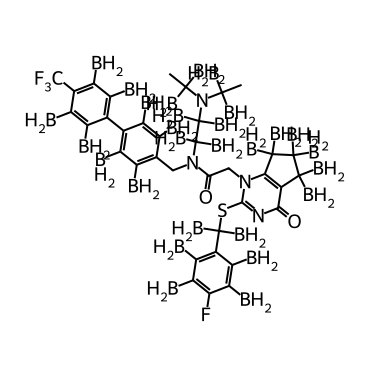 Bc1c(B)c(C(B)(B)Sc2nc(=O)c3c(n2CC(=O)N(Cc2c(B)c(B)c(-c4c(B)c(B)c(C(F)(F)F)c(B)c4B)c(B)c2B)C(B)(B)C(B)(B)N(C(B)(B)C)C(B)(B)C)C(B)(B)C(B)(B)C3(B)B)c(B)c(B)c1F